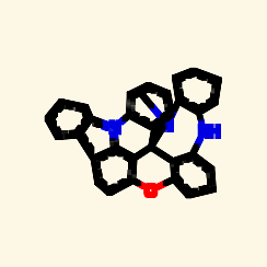 CN1CC23c4ccccc4-n4c5ccccc5c5ccc(c2c54)Oc2cccc(c23)Nc2ccccc21